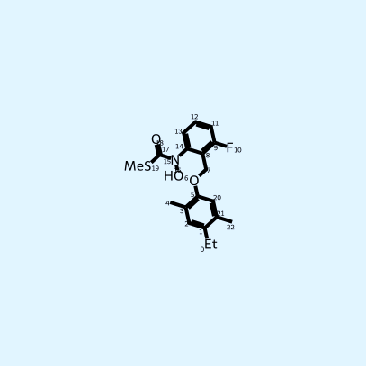 CCc1cc(C)c(OCc2c(F)cccc2N(O)C(=O)SC)cc1C